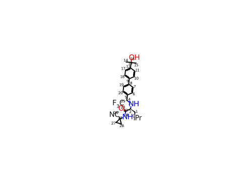 CC(C)C[C@H](N[C@@H](c1ccc(-c2ccc(C(C)(C)O)cc2)cc1)C(F)(F)F)C(=O)NC1(C#N)CC1